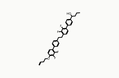 C=CCCOc1ccc(-c2ccc(CCc3ccc(-c4ccc(C(O)CCC)cc4)c(F)c3F)cc2)c(F)c1F